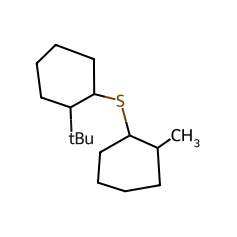 CC1CCCCC1SC1CCCCC1C(C)(C)C